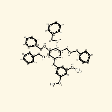 COc1cc(C[C@@H]2O[C@H](COCc3ccccc3)[C@@H](OCc3ccccc3)[C@H](OCc3ccccc3)[C@H]2OCc2ccccc2)cc(OC)c1